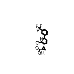 O=C(O)[C@@H]1C[C@H]1c1ccc(-c2cccc(C(F)(F)F)c2)nc1Cl